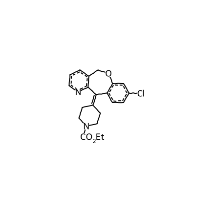 CCOC(=O)N1CCC(=C2c3ccc(Cl)cc3OCc3cccnc32)CC1